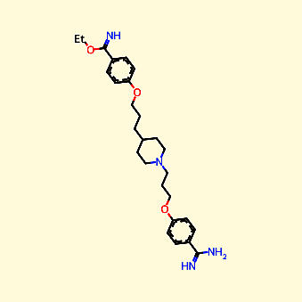 CCOC(=N)c1ccc(OCCCC2CCN(CCCOc3ccc(C(=N)N)cc3)CC2)cc1